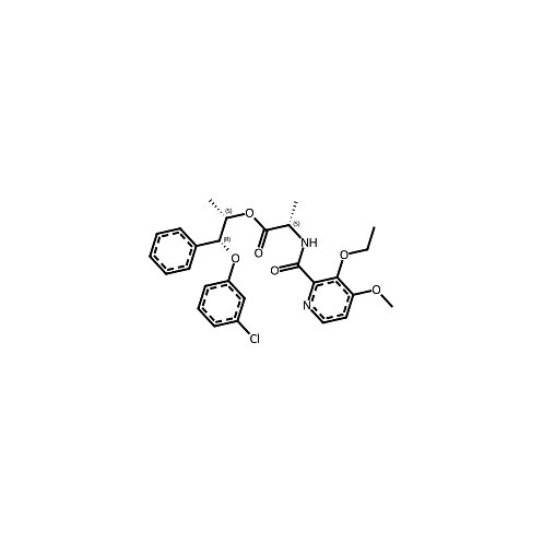 CCOc1c(OC)ccnc1C(=O)N[C@@H](C)C(=O)O[C@@H](C)[C@H](Oc1cccc(Cl)c1)c1ccccc1